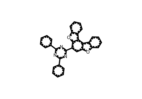 c1ccc(-c2nc(-c3ccccc3)nc(-c3cc4oc5ccccc5c4c4c3oc3ccccc34)n2)cc1